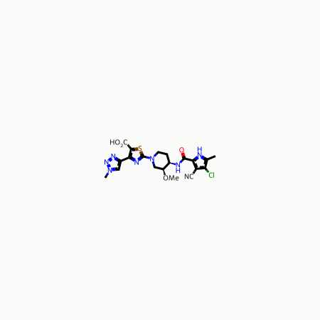 CO[C@H]1CN(c2nc(-c3cn(C)nn3)c(C(=O)O)s2)CC[C@H]1NC(=O)c1[nH]c(C)c(Cl)c1C#N